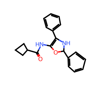 O=C(NC1=C(c2ccccc2)NC(c2ccccc2)O1)C1CCC1